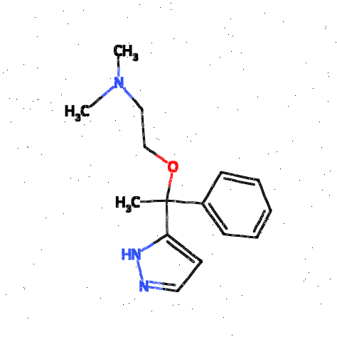 CN(C)CCOC(C)(c1ccccc1)c1ccn[nH]1